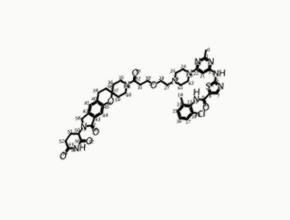 Cc1nc(Nc2ncc(C(=O)Nc3c(C)cccc3Cl)s2)cc(N2CCN(CCOCCC(=O)N3CCC4(CCc5cc6c(cc5O4)C(=O)N(C4CCC(=O)NC4=O)C6)CC3)CC2)n1